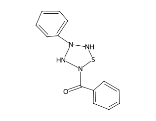 O=C(c1ccccc1)n1[nH]n(-c2ccccc2)[nH]s1